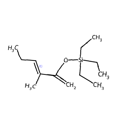 C=C(O[Si](CC)(CC)CC)/C(C)=C/CC